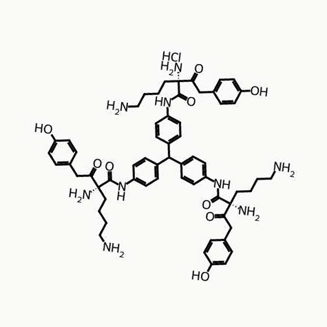 Cl.NCCCC[C@@](N)(C(=O)Cc1ccc(O)cc1)C(=O)Nc1ccc(C(c2ccc(NC(=O)[C@@](N)(CCCCN)C(=O)Cc3ccc(O)cc3)cc2)c2ccc(NC(=O)[C@@](N)(CCCCN)C(=O)Cc3ccc(O)cc3)cc2)cc1